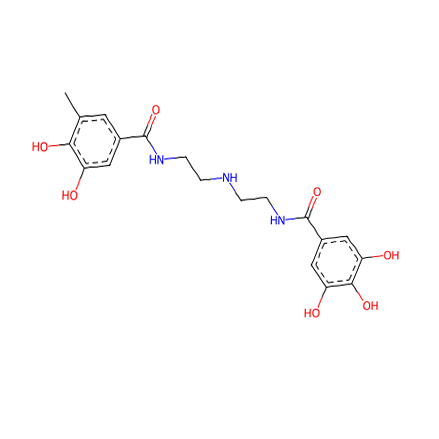 Cc1cc(C(=O)NCCNCCNC(=O)c2cc(O)c(O)c(O)c2)cc(O)c1O